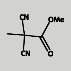 COC(=O)C(C)(C#N)C#N